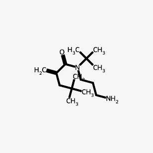 C=C(CC(C)(C)C)C(=O)N(CCCN)C(C)(C)C